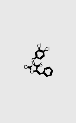 O=C1OC(=Cc2ccccc2)C(=S)N1Sc1ccc(Cl)c(Cl)c1